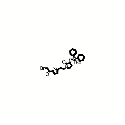 CC(C)(C)[Si](OC1CCN(CCc2ccc(C(=O)CBr)s2)C1=O)(c1ccccc1)c1ccccc1